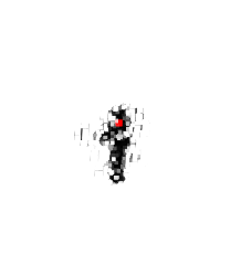 CC[C@H](C)C([C@@H](CC(=O)N1C2C[C@H]2C[C@H]1[C@H](OC)[C@@H](C)C(=O)NC(Cc1ccccc1F)C(=O)O)OC)N(C)C(=O)[C@@H](NC(=O)C(NC)C(C)C)C(C)C